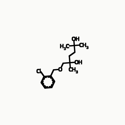 CC(C)(O)CCC(C)(O)COCc1ccccc1Cl